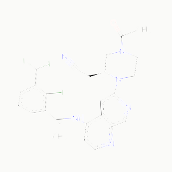 CC(=O)N1CCN(c2cc3c(N[C@H](C)c4cccc(C(F)F)c4F)ccnc3cn2)[C@@H](CC#N)C1